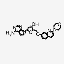 Nc1ncnc2c1ccn2[C@H]1C[C@H](O)[C@@H](COc2ccc3ccc(N4CCOCC4)nc3c2)O1